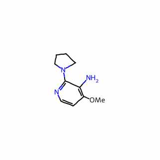 COc1ccnc(N2CCCC2)c1N